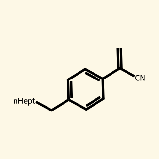 C=C(C#N)c1ccc(CCCCCCCC)cc1